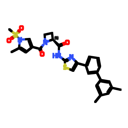 Cc1cc(C)cc(-c2cccc(-c3csc(NC(=O)[C@@H]4CCN4C(=O)c4cc(C)n(S(C)(=O)=O)c4)n3)c2)c1